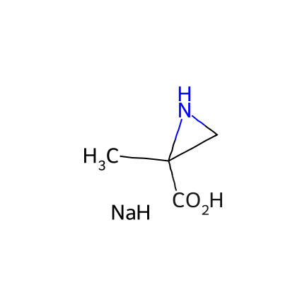 CC1(C(=O)O)CN1.[NaH]